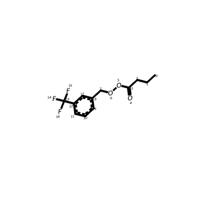 CCCC(=O)OOCc1cccc(C(F)(F)F)c1